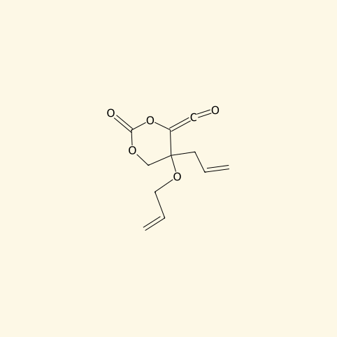 C=CCOC1(CC=C)COC(=O)OC1=C=O